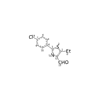 CCc1sc(-c2ccc(Cl)cc2)nc1C=O